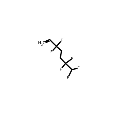 C=CC(F)(F)CCC(F)(F)C(F)F